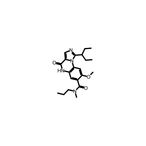 CCCN(C)C(=O)c1cc2[nH]c(=O)c3cnc(C(CC)CC)n3c2cc1OC